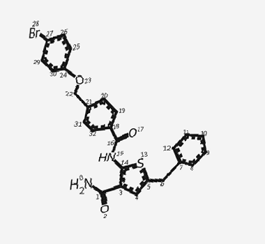 NC(=O)c1cc(Cc2ccccc2)sc1NC(=O)c1ccc(COc2ccc(Br)cc2)cc1